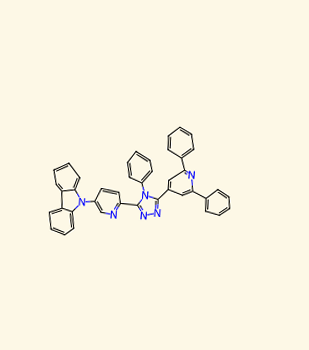 c1ccc(-c2cc(-c3nnc(-c4ccc(-n5c6ccccc6c6ccccc65)cn4)n3-c3ccccc3)cc(-c3ccccc3)n2)cc1